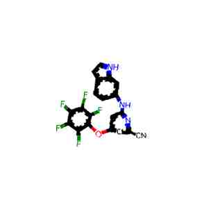 N#Cc1cc(Oc2c(F)c(F)c(F)c(F)c2F)cc(Nc2ccc3cc[nH]c3c2)n1